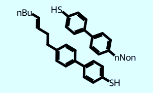 CCCCC=CCCc1ccc(-c2ccc(S)cc2)cc1.CCCCCCCCCc1ccc(-c2ccc(S)cc2)cc1